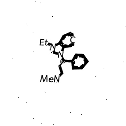 CCN1[CH]N([C@H](CCNC)c2ccccc2)c2ccccc21